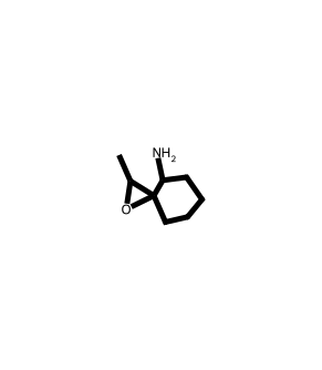 CC1OC12CCCCC2N